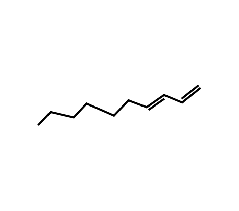 C=CC=CCCCCCC